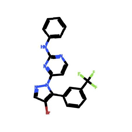 FC(F)(F)c1cccc(-c2c(Br)cnn2-c2ccnc(Nc3ccccc3)n2)c1